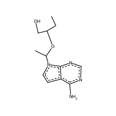 CCC(CO)OC(C)n1ccc2c(N)ncnc21